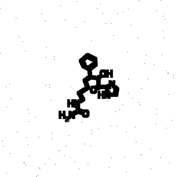 NC(=O)NCCCC[C](c1ccccc1)C(O)C(=O)c1ncc[nH]1